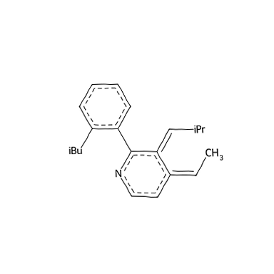 C/C=c1/ccnc(-c2ccccc2C(C)CC)/c1=C/C(C)C